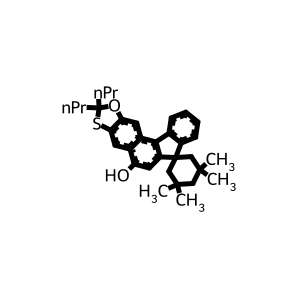 CCCC1(CCC)Oc2cc3c4c(cc(O)c3cc2S1)C1(CC(C)(C)CC(C)(C)C1)c1ccccc1-4